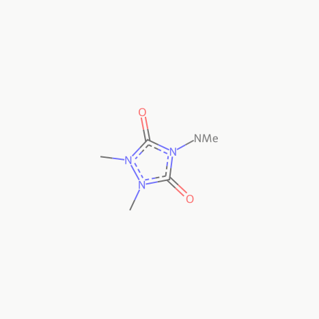 CNn1c(=O)n(C)n(C)c1=O